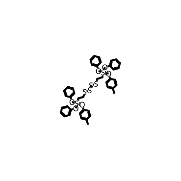 Cc1ccc(O[Si](CCSSSSCC[Si](Oc2ccccc2)(Oc2ccccc2)Oc2ccc(C)cc2)(Oc2ccccc2)Oc2ccccc2)cc1